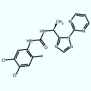 C[C@H](NC(=O)Nc1cc(Cl)c(Cl)cc1I)c1ncnn1-c1ncccn1